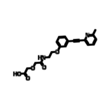 Cc1cccc(C#Cc2cccc(OCCNC(=O)COCC(=O)O)c2)n1